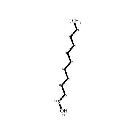 CCCCCCCCCCSO